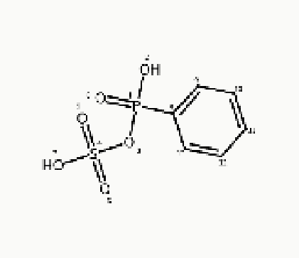 O=P(O)(OS(=O)(=O)O)c1ccccc1